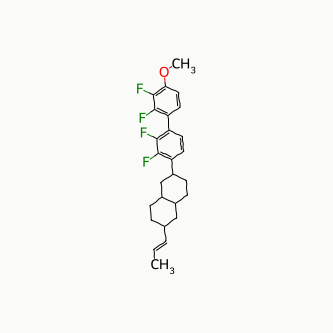 C/C=C/C1CCC2CC(c3ccc(-c4ccc(OC)c(F)c4F)c(F)c3F)CCC2C1